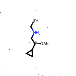 CO[C@H](CNCC(C)C)C1CC1